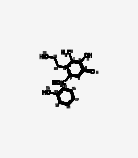 Cc1c(O)c(=O)cc(C(=O)O)n1CCO.Oc1ccccc1